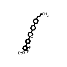 C=CCCC1CCC(C2CCC(C3CCC(c4ccc(-c5ccc(OCC)c(F)c5F)cc4)OC3)CC2)CC1